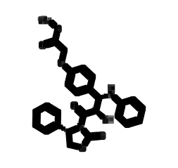 CC(C)(C)OC(=O)COc1ccc([C@H](Nc2ccccc2)[C@@H](S)C(=O)N2C(=O)OC[C@@H]2c2ccccc2)cc1